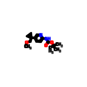 COCC1(c2ccc(NC(=O)OC(C)(C)C)nc2)CC1